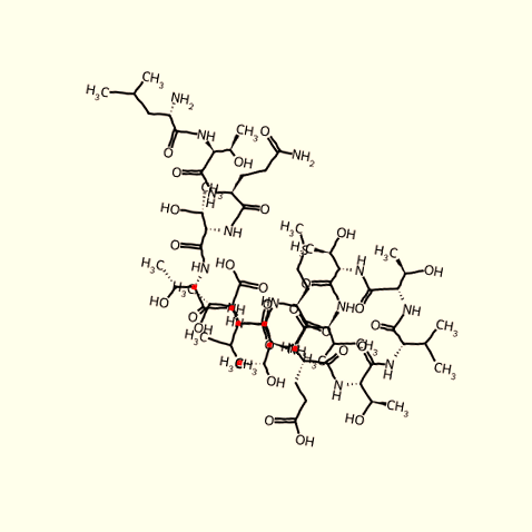 CSCC[C@H](NC(=O)[C@@H](NC(=O)[C@@H](NC(=O)[C@@H](NC(=O)[C@H](CCC(N)=O)NC(=O)[C@@H](NC(=O)[C@@H](N)CC(C)C)[C@@H](C)O)[C@@H](C)O)[C@@H](C)O)C(C)C)C(=O)N[C@@H](CCC(=O)O)C(=O)N[C@H](C(=O)N[C@H](C(=O)N[C@H](C(=O)N[C@H](C(=O)N[C@H](C(=O)N[C@H](C(=O)N[C@H](C(=O)O)[C@@H](C)O)[C@@H](C)O)C(C)C)[C@@H](C)O)[C@@H](C)O)C(C)C)[C@@H](C)O